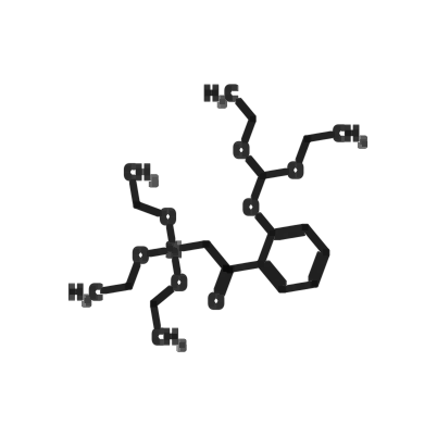 CCOC(OCC)Oc1ccccc1C(=O)C[Si](OCC)(OCC)OCC